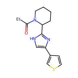 CCC(=O)N1CCCCC1c1nc(-c2ccsc2)c[nH]1